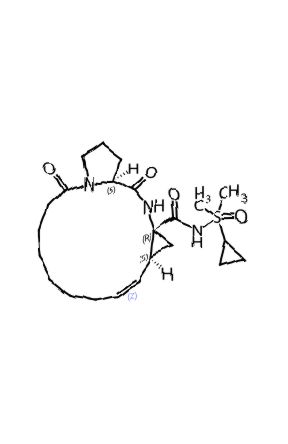 CS(C)(=O)(NC(=O)[C@@]12C[C@H]1/C=C\CCCCCCC(=O)N1CCC[C@H]1C(=O)N2)C1CC1